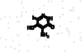 Nc1c(O)c(I)n[nH]c1=O